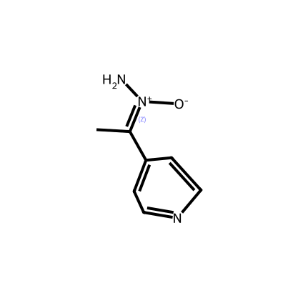 C/C(c1ccncc1)=[N+](\N)[O-]